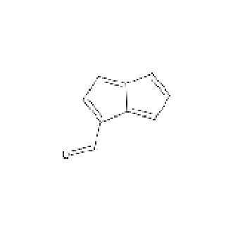 O=[C]C1=CC=C2C=CC=C12